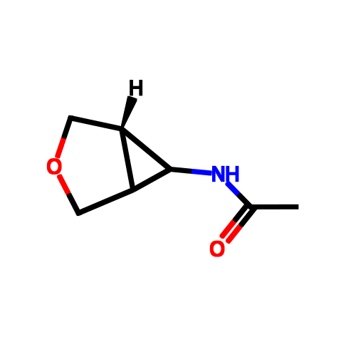 CC(=O)NC1C2COC[C@@H]21